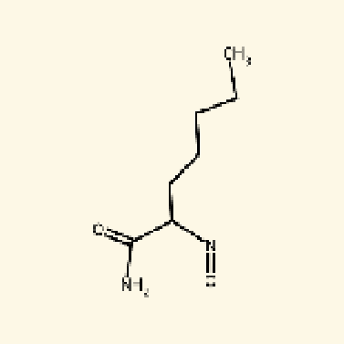 CCCCCC(N=O)C(N)=O